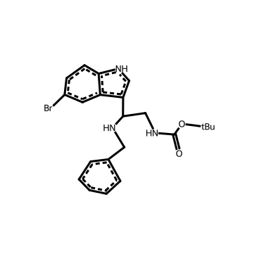 CC(C)(C)OC(=O)NCC(NCc1ccccc1)c1c[nH]c2ccc(Br)cc12